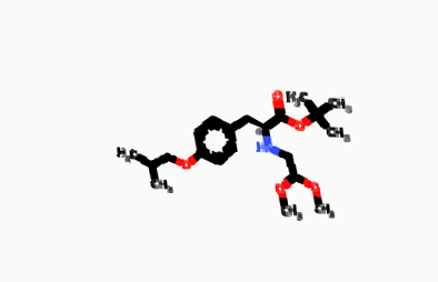 COC(CN[C@@H](Cc1ccc(OCC(C)C)cc1)C(=O)OC(C)(C)C)OC